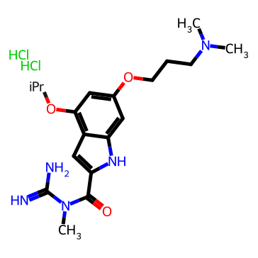 CC(C)Oc1cc(OCCCN(C)C)cc2[nH]c(C(=O)N(C)C(=N)N)cc12.Cl.Cl